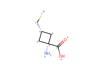 N[C@]1(C(=O)O)C[C@H](CF)C1